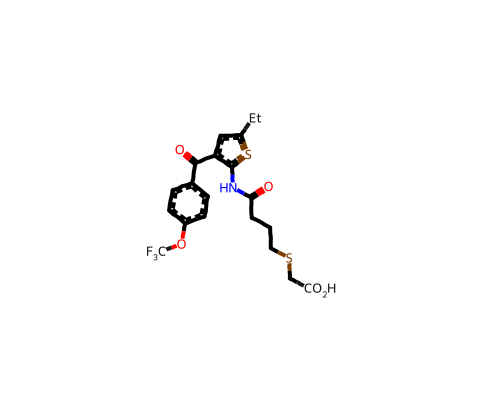 CCc1cc(C(=O)c2ccc(OC(F)(F)F)cc2)c(NC(=O)CCCSCC(=O)O)s1